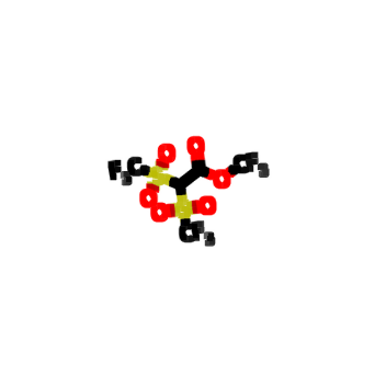 O=C(OC(F)(F)F)C(S(=O)(=O)C(F)(F)F)S(=O)(=O)C(F)(F)F